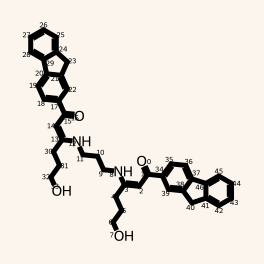 O=C(/C=C(/CCCO)NCCCN/C(=C\C(=O)c1ccc2c(c1)Cc1ccccc1-2)CCCO)c1ccc2c(c1)Cc1ccccc1-2